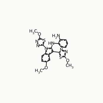 COc1ccc2c(c1)c(-c1nnc(OC)s1)c(Nc1ccccc1N)n2-c1nnc(OC)s1